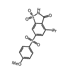 COc1ccc(S(=O)(=O)c2cc(C(C)C)c3c(c2)S(=O)(=O)NC3=O)cc1